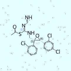 CC(=O)S/C(=N/C=N)NC[C@]1(c2ccccc2Cl)O[C@@H]1c1ccc(Cl)cc1Cl